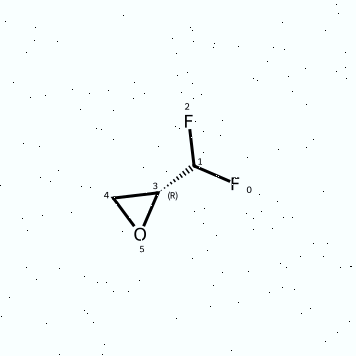 FC(F)[C@H]1CO1